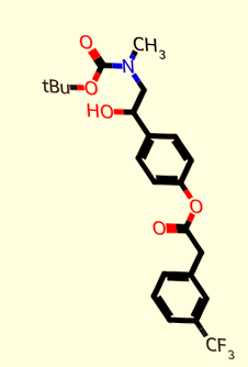 CN(CC(O)c1ccc(OC(=O)Cc2cccc(C(F)(F)F)c2)cc1)C(=O)OC(C)(C)C